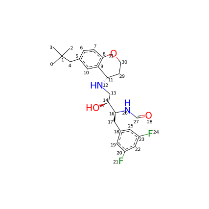 CC(C)(C)Cc1ccc2c(c1)[C@@H](NC[C@H](O)[C@H](Cc1cc(F)cc(F)c1)NC=O)CCO2